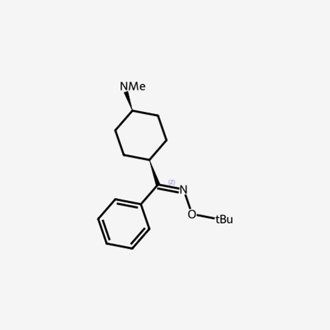 CN[C@H]1CC[C@@H](/C(=N/OC(C)(C)C)c2ccccc2)CC1